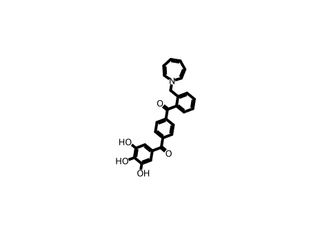 O=C(c1ccc(C(=O)c2ccccc2CN2C=CC=CC=C2)cc1)c1cc(O)c(O)c(O)c1